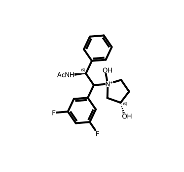 CC(=O)N[C@@H](c1ccccc1)C(c1cc(F)cc(F)c1)[N+]1(O)CC[C@H](O)C1